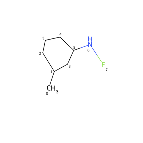 CC1CCCC(NF)C1